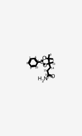 CC1(C)OB(c2ccccc2)OC1(C)CCC(N)=O